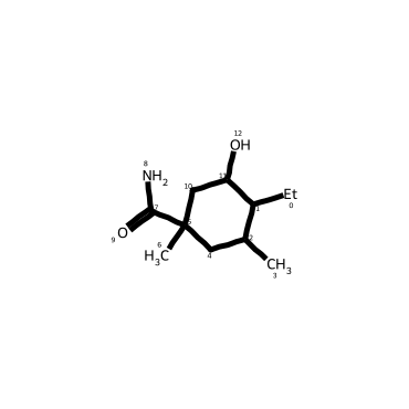 CCC1C(C)CC(C)(C(N)=O)CC1O